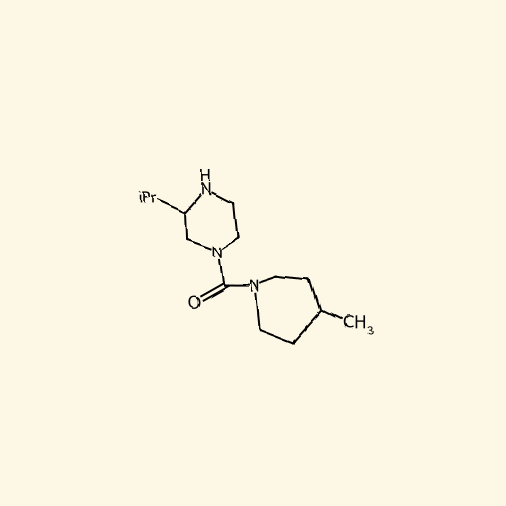 CC1CCN(C(=O)N2CCNC(C(C)C)C2)CC1